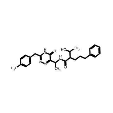 Cc1ccc(Cc2nnc(C(C)NC(=O)C(CCCc3ccccc3)C(C)O)c(=O)[nH]2)cc1